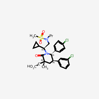 CC(C)N(C[C@H](C1CC1)N1C(=O)[C@@](C)(CC(=O)O)C[C@H](c2cccc(Cl)c2)[C@H]1c1ccc(Cl)cc1)S(C)(=O)=O